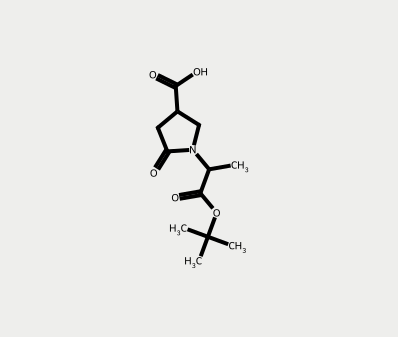 CC(C(=O)OC(C)(C)C)N1CC(C(=O)O)CC1=O